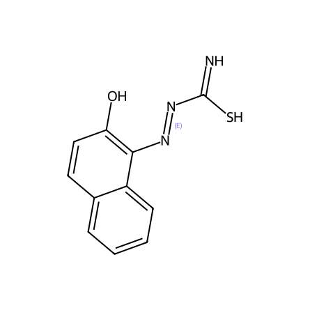 N=C(S)/N=N/c1c(O)ccc2ccccc12